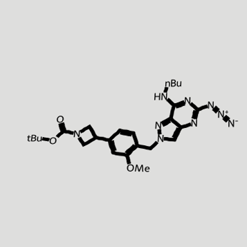 CCCCNc1nc(N=[N+]=[N-])nc2cn(Cc3ccc(C4CN(C(=O)OC(C)(C)C)C4)cc3OC)nc12